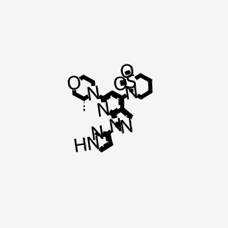 C[C@@H]1COCCN1c1cc(N2CCCCS2(=O)=O)c2cnn(-c3cc[nH]n3)c2n1